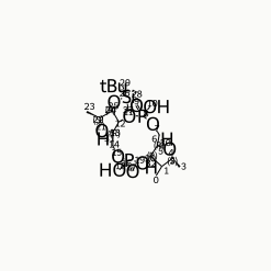 CC1[C@H](C)O[C@@H]2COP(=O)(O)OC3[C@@H](COP(=O)(O)O[C@H]12)O[C@@H](C)[C@H]3O[Si](C)(C)C(C)(C)C